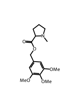 COc1cc(COC(=O)C2CCCN2C)cc(OC)c1OC